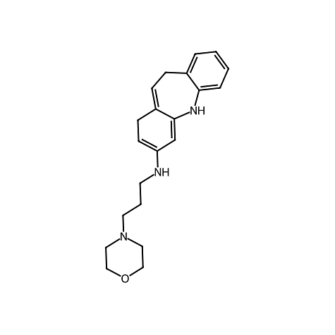 C1=C(NCCCN2CCOCC2)C=C2Nc3ccccc3CC=C2C1